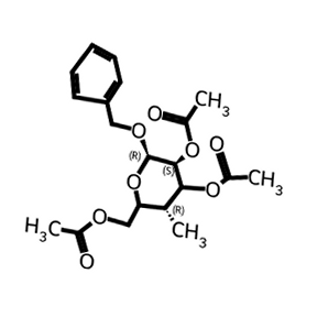 CC(=O)OCC1O[C@@H](OCc2ccccc2)[C@@H](OC(C)=O)C(OC(C)=O)[C@@H]1C